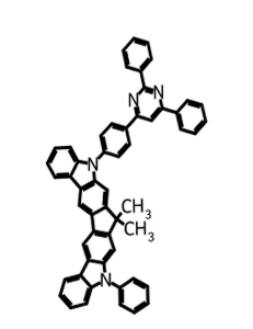 CC1(C)c2cc3c(cc2-c2cc4c5ccccc5n(-c5ccc(-c6cc(-c7ccccc7)nc(-c7ccccc7)n6)cc5)c4cc21)c1ccccc1n3-c1ccccc1